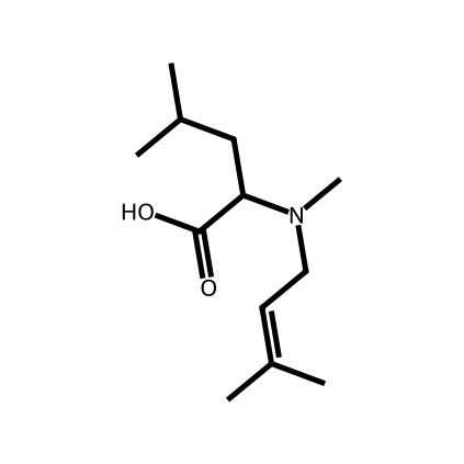 CC(C)=CCN(C)C(CC(C)C)C(=O)O